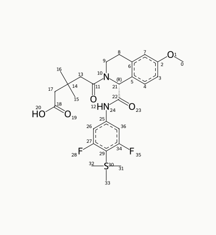 COc1ccc2c(c1)CCN(C(=O)CC(C)(C)CC(=O)O)[C@H]2C(=O)Nc1cc(F)c(S(C)(C)C)c(F)c1